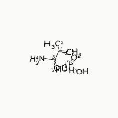 C=C(C)C(N)=O.O=[PH](O)O